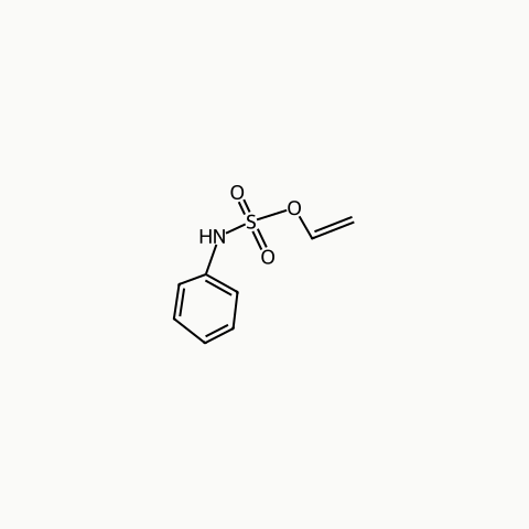 C=COS(=O)(=O)Nc1ccccc1